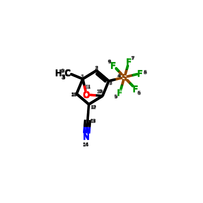 CC12C=C(S(F)(F)(F)(F)F)C(O1)C(C#N)C2